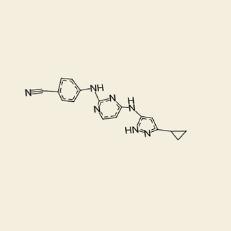 N#Cc1ccc(Nc2nccc(Nc3cc(C4CC4)n[nH]3)n2)cc1